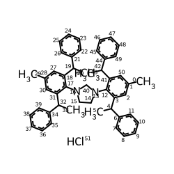 Cc1cc(C(C)c2ccccc2)c(N2CCN(c3c(C(C)c4ccccc4)cc(C)cc3C(C)c3ccccc3)C2)c(C(C)c2ccccc2)c1.Cl